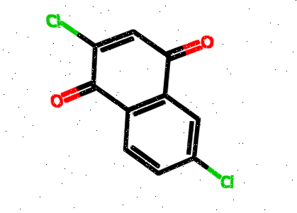 O=C1C=C(Cl)C(=O)c2ccc(Cl)cc21